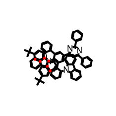 CC(C)(C)c1ccc2c(c1)c1cc(C(C)(C)C)ccc1n2-c1c(-c2ccccc2-n2c3ccccc3c3ccccc32)cc(-c2cc(-c3ccccc3)nc(-c3ccccc3)n2)cc1-c1ccccc1-n1c2ccccc2c2ccccc21